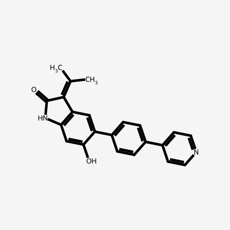 CC(C)=C1C(=O)Nc2cc(O)c(-c3ccc(-c4ccncc4)cc3)cc21